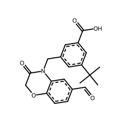 CC(C)(C)c1cc(CN2C(=O)COc3ccc(C=O)cc32)cc(C(=O)O)c1